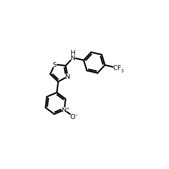 [O-][n+]1cccc(-c2csc(Nc3ccc(C(F)(F)F)cc3)n2)c1